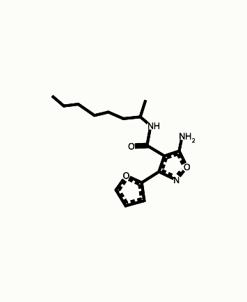 CCCCCCC(C)NC(=O)c1c(-c2ccco2)noc1N